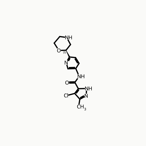 Cc1n[nH]c(C(=O)Nc2ccc([C@@H]3CNCCO3)nc2)c1Cl